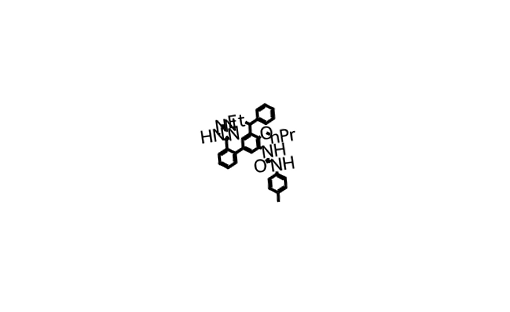 CCCOc1c(NC(=O)Nc2ccc(C)cc2)cc(-c2ccccc2-c2nnn[nH]2)cc1C(CC)c1ccccc1